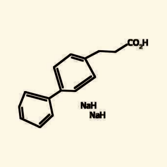 O=C(O)CCc1ccc(-c2ccccc2)cc1.[NaH].[NaH]